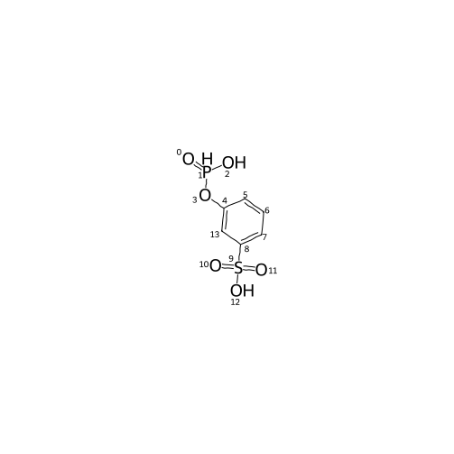 O=[PH](O)Oc1cccc(S(=O)(=O)O)c1